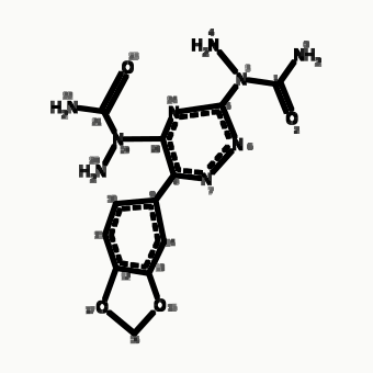 NC(=O)N(N)c1nnc(-c2ccc3c(c2)OCO3)c(N(N)C(N)=O)n1